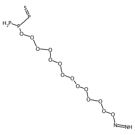 N=NOOOOOOOOOOOOOOP(P)P=S